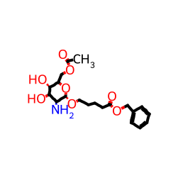 CC(=O)OCC1O[C@@H](OCCCCC(=O)OCc2ccccc2)[C@@H](N)C(O)[C@H]1O